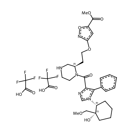 COC[C@]1(O)CCCC[C@H]1n1cnc(C(=O)N2CCNC[C@H]2CCOc2cc(C(=O)OC)on2)c1-c1ccccc1.O=C(O)C(F)(F)F.O=C(O)C(F)(F)F